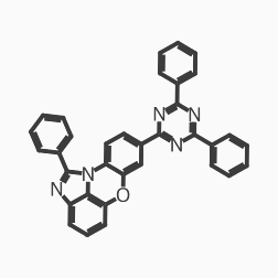 c1ccc(-c2nc(-c3ccccc3)nc(-c3ccc4c(c3)Oc3cccc5nc(-c6ccccc6)n-4c35)n2)cc1